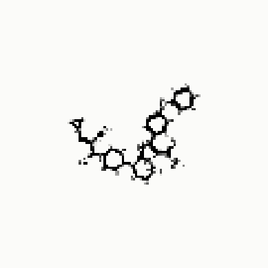 N#CC(=CC1CC1)C(=O)N1CCC(C2CCNn3c2nc(-c2ccc(Oc4ccccc4)cc2)c3C(N)=O)CC1